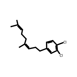 CC(C)=CCCC(C)=CCCc1ccc(Cl)c(Cl)c1